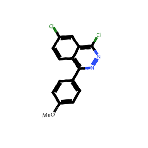 COc1ccc(-c2nnc(Cl)c3cc(Cl)ccc23)cc1